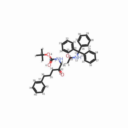 CC(C)(C)OC(=O)N[C@H](CC(=O)NC(c1ccccc1)(c1ccccc1)c1ccccc1)C(=O)CCCc1ccccc1